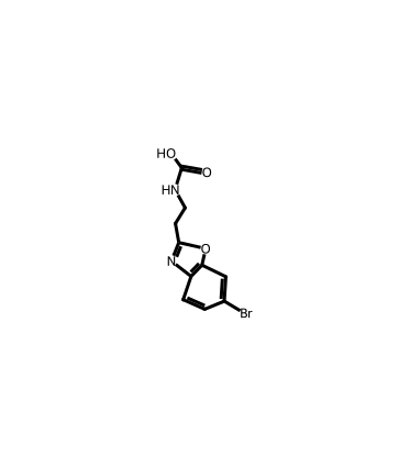 O=C(O)NCCc1nc2ccc(Br)cc2o1